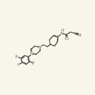 N#CCC(=O)NC1CCC(CCN2CCN(c3cc(F)c(F)cc3F)CC2)CC1